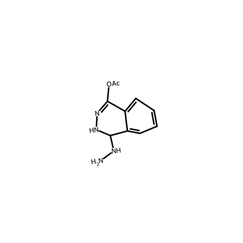 CC(=O)OC1=NNC(NN)c2ccccc21